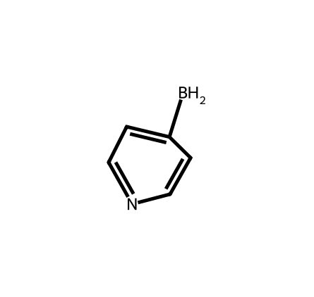 Bc1ccncc1